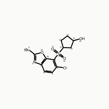 CC(C)(C)c1nc2ccc(Cl)c(S(=O)(=O)C3CCC(O)C3)c2o1